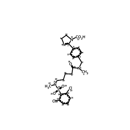 CN(Cc1ccc(C2=NCCN2C(=O)O)cc1)C(=O)CCCCN(C)S(=O)(=O)c1c(Cl)cccc1Cl